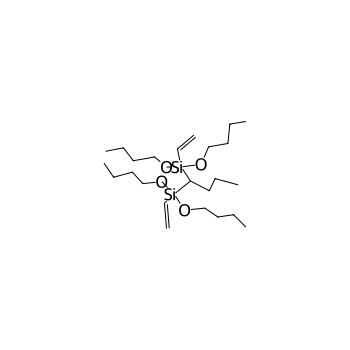 C=C[Si](OCCCC)(OCCCC)C(CCC)[Si](C=C)(OCCCC)OCCCC